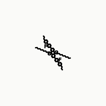 CCCCCCCCCCOc1c2ccc(-c3ccc(-c4ccc(CCC)cc4)c(F)c3)cc2c(OCCCCCCCCCC)c2ccc(-c3ccc(-c4ccc(CCC)cc4)c(F)c3)cc12